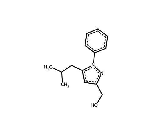 CC(C)Cc1cc(CO)nn1-c1ccccc1